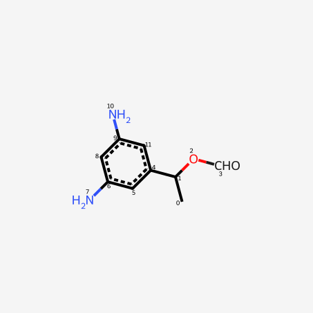 CC(OC=O)c1cc(N)cc(N)c1